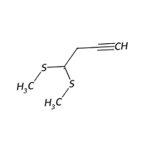 C#CC[C](SC)SC